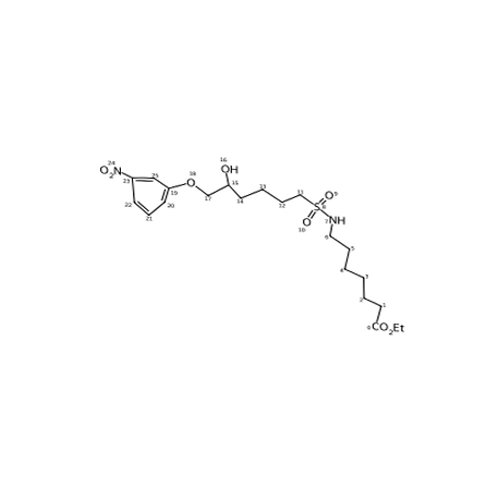 CCOC(=O)CCCCCCNS(=O)(=O)CCCCC(O)COc1cccc([N+](=O)[O-])c1